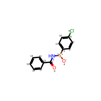 O=C(N[S+]([O-])c1ccc(Cl)cc1)c1ccccc1